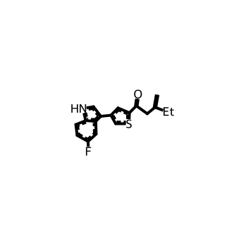 C=C(CC)CC(=O)c1cc(-c2c[nH]c3ccc(F)cc23)cs1